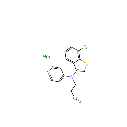 CCCN(c1ccncc1)c1csc2c(Cl)cccc12.Cl